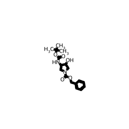 CC(C)(C)OC(=O)NC1CN(C(=O)OCc2ccccc2)CC1O